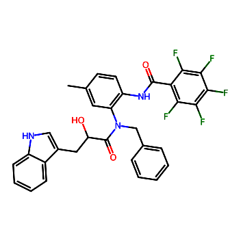 Cc1ccc(NC(=O)c2c(F)c(F)c(F)c(F)c2F)c(N(Cc2ccccc2)C(=O)C(O)Cc2c[nH]c3ccccc23)c1